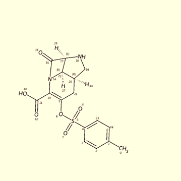 Cc1ccc(S(=O)(=O)OC2=C(C(=O)O)N3C(=O)[C@H]4NC[C@@H](C2)[C@H]43)cc1